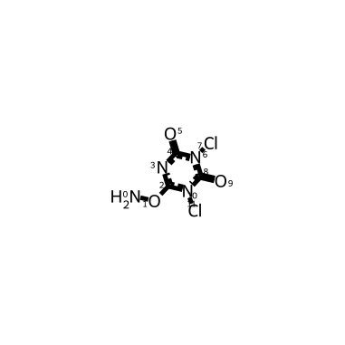 NOc1nc(=O)n(Cl)c(=O)n1Cl